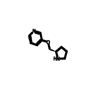 c1cncc(OC[C@@H]2CCCN2)c1